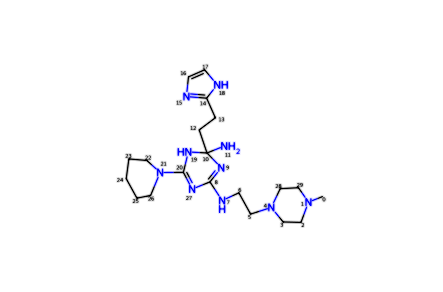 CN1CCN(CCNC2=NC(N)(CCc3ncc[nH]3)NC(N3CCCCC3)=N2)CC1